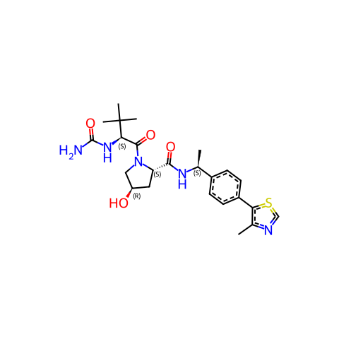 Cc1ncsc1-c1ccc([C@H](C)NC(=O)[C@@H]2C[C@@H](O)CN2C(=O)[C@@H](NC(N)=O)C(C)(C)C)cc1